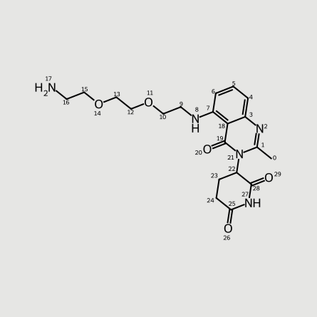 Cc1nc2cccc(NCCOCCOCCN)c2c(=O)n1C1CCC(=O)NC1=O